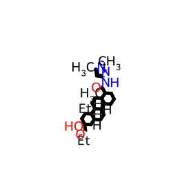 CCOC[C@@]1(O)CC[C@@]2(CC)[C@H](CC[C@@H]3[C@@H]2CC[C@]2(C)C(C(=O)Nc4cc(C)n(C)n4)CCC[C@@H]32)C1